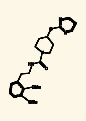 COc1cccc(CCNC(=O)N2CCC(Oc3ncccn3)CC2)c1OC